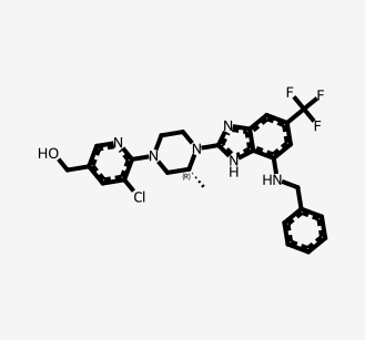 C[C@@H]1CN(c2ncc(CO)cc2Cl)CCN1c1nc2cc(C(F)(F)F)cc(NCc3ccccc3)c2[nH]1